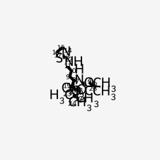 CC(C)(C)OC(=O)NC(CCCNC1=NCCS1)C(=O)OC(C)(C)C